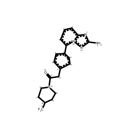 Nc1nc2cccc(-c3ccc(CC(=O)N4CCC(C(F)(F)F)CC4)cc3)n2n1